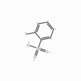 Cc1ccccc1[Se](=O)(=O)Cl